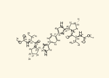 COC(=O)N[C@H](C(=O)N1C[C@@H](C)C[C@@H]1c1nc(-c2ccc(-c3c[nH]c([C@@H]4C[C@H](C)CN4C(=O)[C@@H](NC(=O)OC)C(C)C)n3)cc2)c[nH]1)C(C)C